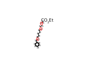 CCOC(=O)COCCOCCCCCOCc1ccccc1